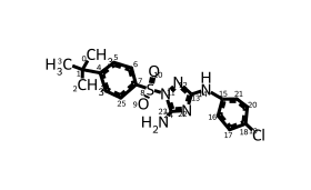 CC(C)(C)c1ccc(S(=O)(=O)n2nc(Nc3ccc(Cl)cc3)nc2N)cc1